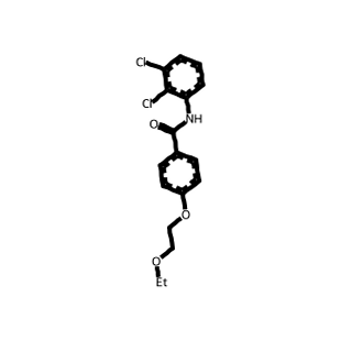 CCOCCOc1ccc(C(=O)Nc2cccc(Cl)c2Cl)cc1